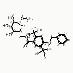 CO[C@@H]1O[C@H](COC(=O)c2cc(C(F)(F)F)c(OCc3ccccc3)cc2C(F)(F)F)[C@@H](O)[C@H](O)[C@H]1O